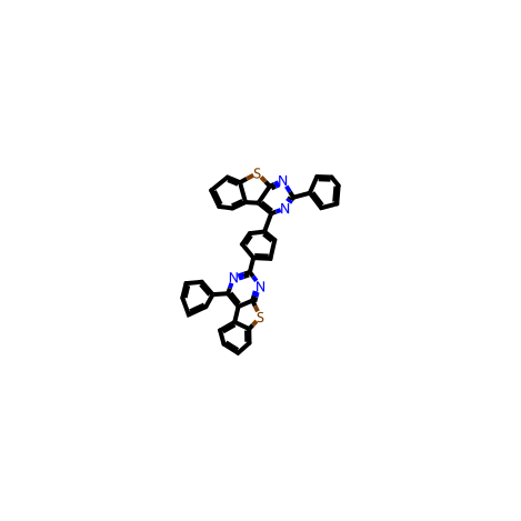 c1ccc(-c2nc(-c3ccc(-c4nc(-c5ccccc5)c5c(n4)sc4ccccc45)cc3)c3c(n2)sc2ccccc23)cc1